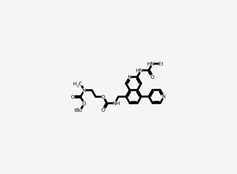 CCNC(=O)Nc1cc2c(-c3ccncc3)ccc(CNC(=O)OCCN(C)C(=O)OC(C)(C)C)c2cn1